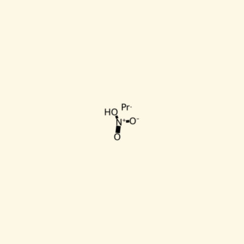 O=[N+]([O-])O.[Pr]